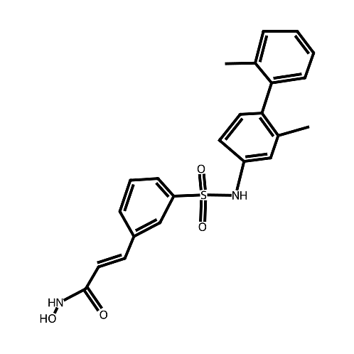 Cc1ccccc1-c1ccc(NS(=O)(=O)c2cccc(/C=C/C(=O)NO)c2)cc1C